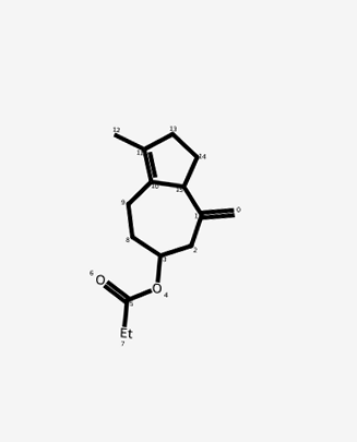 C=C1CC(OC(=O)CC)CCC2=C(C)CCC12